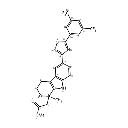 COC(=O)CC1(C)OCCc2c1[nH]c1ccc(-c3noc(-c4cc(C(F)(F)F)cc(C(F)(F)F)c4)n3)cc21